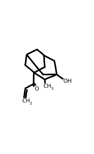 C=CC(=O)C12CC3CC(CC(O)(C3)C1C)C2